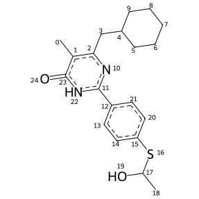 Cc1c(CC2CCCCC2)nc(-c2ccc(SC(C)O)cc2)[nH]c1=O